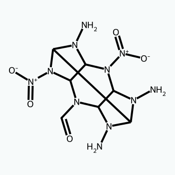 NN1C2C3N(N)C4C(N(C=O)C1C(N2N)N4[N+](=O)[O-])N3[N+](=O)[O-]